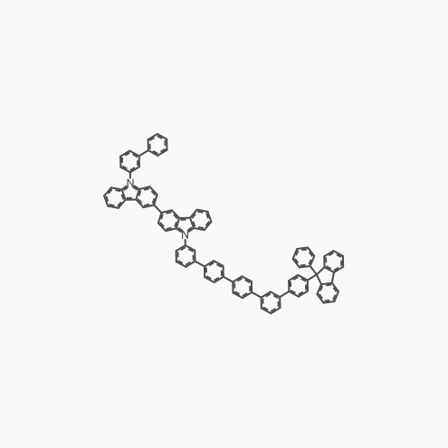 c1ccc(-c2cccc(-n3c4ccccc4c4cc(-c5ccc6c(c5)c5ccccc5n6-c5cccc(-c6ccc(-c7ccc(-c8cccc(-c9ccc(C%10(c%11ccccc%11)c%11ccccc%11-c%11ccccc%11%10)cc9)c8)cc7)cc6)c5)ccc43)c2)cc1